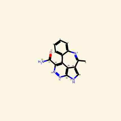 CC1=Nc2ccccc2-c2c(C(N)=O)nnc3[nH]cc1c23